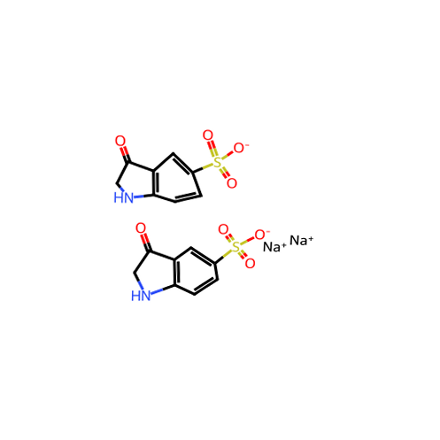 O=C1CNc2ccc(S(=O)(=O)[O-])cc21.O=C1CNc2ccc(S(=O)(=O)[O-])cc21.[Na+].[Na+]